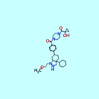 COCCN1NCC2(C3CCCCC3)CCC(c3ccc(C(=O)N4CCN(C(=O)C5(O)CC5)CC4)cc3)CC12